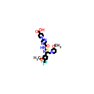 COc1cc(-c2nc(NC(=O)c3cnc(N4CCC(C(=O)O)CC4)cn3)sc2CN2CCC[C@H](OC)C2)ccc1C(F)(F)F